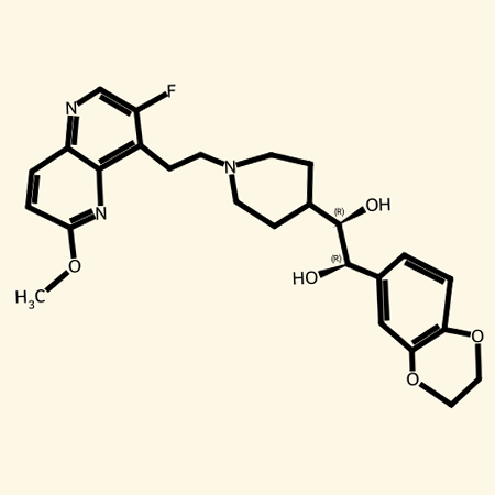 COc1ccc2ncc(F)c(CCN3CCC([C@@H](O)[C@H](O)c4ccc5c(c4)OCCO5)CC3)c2n1